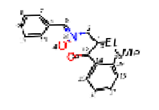 CCC(C[N+]([O-])=Cc1ccccc1)C(=O)c1ccccc1SC